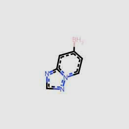 Bc1ccn2ncnc2c1